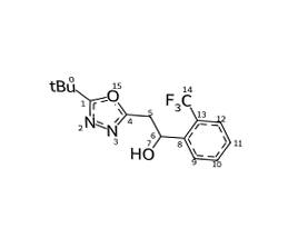 CC(C)(C)c1nnc(CC(O)c2ccccc2C(F)(F)F)o1